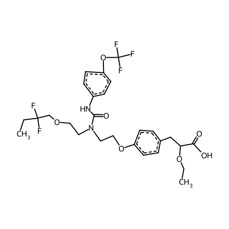 CCOC(Cc1ccc(OCCN(CCOCC(F)(F)CC)C(=O)Nc2ccc(OC(F)(F)F)cc2)cc1)C(=O)O